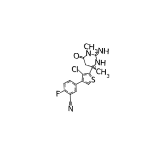 CN1C(=N)N[C@](C)(c2scc(-c3ccc(F)c(C#N)c3)c2Cl)CC1=O